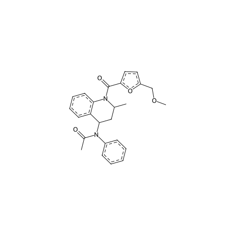 COCc1ccc(C(=O)N2c3ccccc3C(N(C(C)=O)c3ccccc3)CC2C)o1